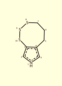 c1[nH]cc2c1CCCSSS2